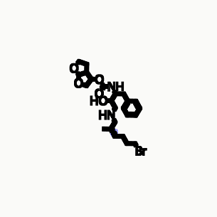 C/C(=C/CCCBr)CNCC(O)C(Cc1ccccc1)NC(=O)OC1COC2OCCC12